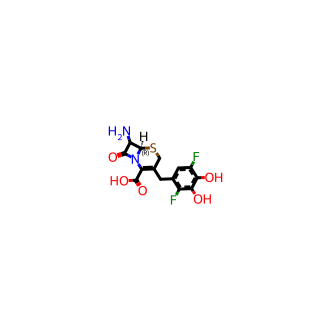 NC1C(=O)N2C(C(=O)O)=C(Cc3cc(F)c(O)c(O)c3F)CS[C@H]12